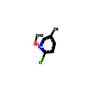 N#Cc1ccc(Cl)nc1.O=CO